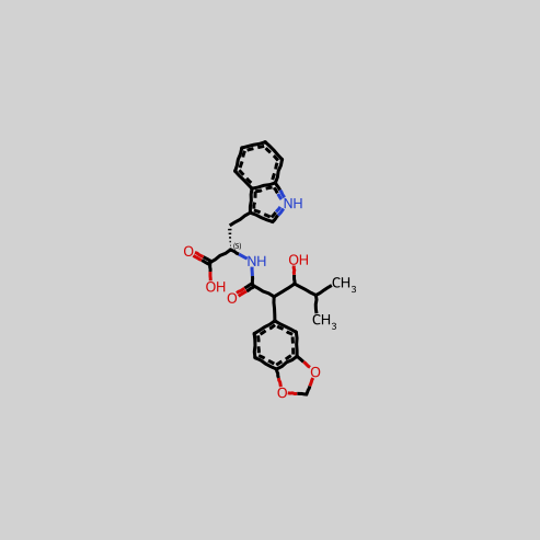 CC(C)C(O)C(C(=O)N[C@@H](Cc1c[nH]c2ccccc12)C(=O)O)c1ccc2c(c1)OCO2